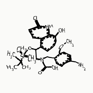 COc1cc(N)ccc1CN(CC(O[Si](C)(C)C(C)(C)C)c1ccc(O)c2[nH]c(=O)ccc12)C(=O)O